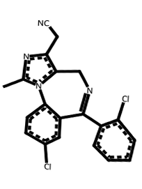 Cc1nc(CC#N)c2n1-c1ccc(Cl)cc1C(c1ccccc1Cl)=NC2